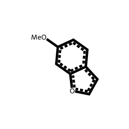 COc1ccc2ccoc2c1